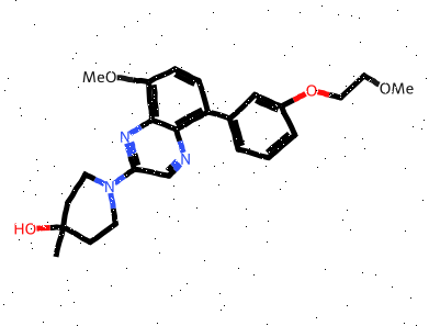 COCCOc1cccc(-c2ccc(OC)c3nc(N4CCC(C)(O)CC4)cnc23)c1